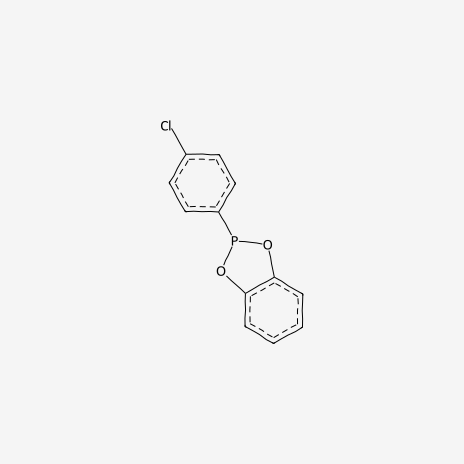 Clc1ccc(P2Oc3ccccc3O2)cc1